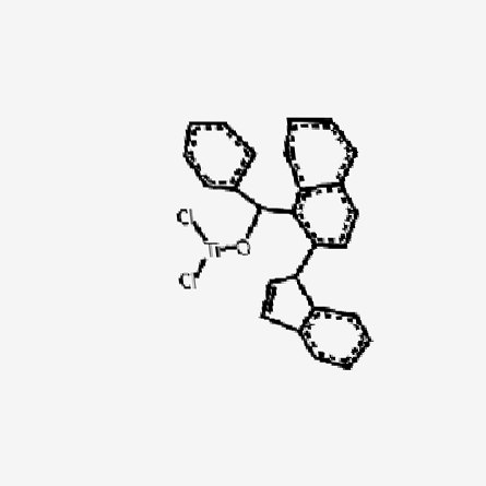 [Cl][Ti]([Cl])[O]C(c1ccccc1)c1c(C2C=Cc3ccccc32)ccc2ccccc12